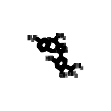 Cc1ccc(Cn2c(C(N)=O)nnc2-c2cc(C(C)C)c(O)cc2O)cc1